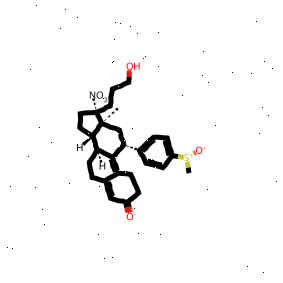 C[S+]([O-])c1ccc([C@H]2C[C@@]3(C)[C@@H](CC[C@]3(CCCO)[N+](=O)[O-])[C@@H]3CCC4=CC(=O)CCC4=C32)cc1